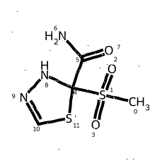 CS(=O)(=O)C1(C(N)=O)NN=CS1